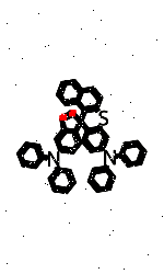 c1ccc(N(c2ccccc2)c2ccc3c(c2)Sc2ccc4ccccc4c2C32c3ccccc3-c3cc(N(c4ccccc4)c4ccccc4)ccc32)cc1